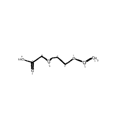 COOCCOCC(=O)O